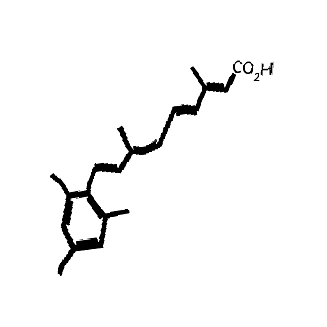 CC(/C=C/c1c(C)cc(C)cc1C)=C\C=C\C(C)=C\C(=O)O